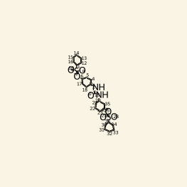 O=C(Nc1ccc(OS(=O)(=O)c2ccccc2)cc1)Nc1cccc(OS(=O)(=O)c2ccccc2)c1